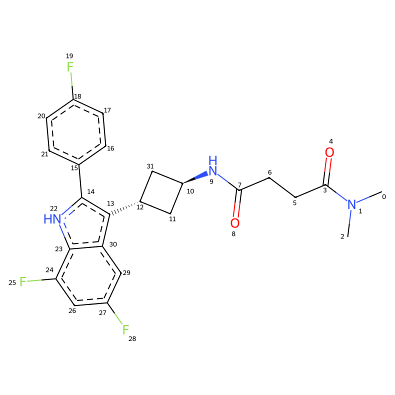 CN(C)C(=O)CCC(=O)N[C@H]1C[C@H](c2c(-c3ccc(F)cc3)[nH]c3c(F)cc(F)cc32)C1